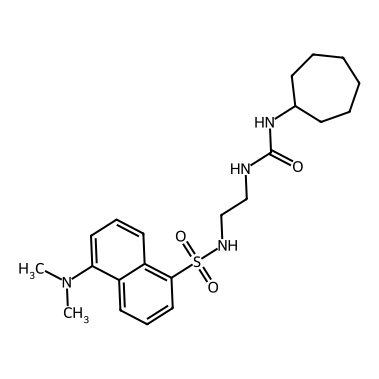 CN(C)c1cccc2c(S(=O)(=O)NCCNC(=O)NC3CCCCCC3)cccc12